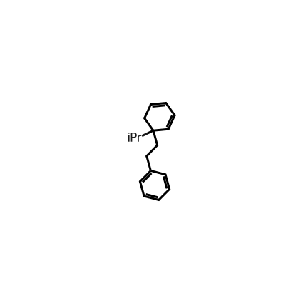 CC(C)C1(CCc2ccccc2)C=CC=CC1